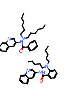 CCCCCCN(CCCCCC)N(C(=O)c1ccccc1)c1cnc2ccccc2c1.CCCCCN(CCCCC)c1ccccc1C(=O)Nc1cnc2ccccc2c1